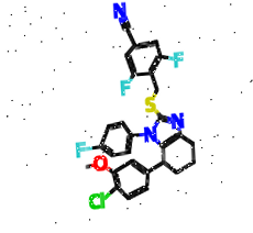 COc1cc(C2CCCc3nc(SCc4c(F)cc(C#N)cc4F)n(-c4ccc(F)cc4)c32)ccc1Cl